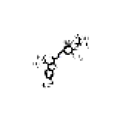 CSc1ccc2c(C(C)C)c(C(=O)/C=C/c3cc(C)c(OC(C)(C)C(=O)O)c(C)c3)sc2c1